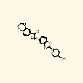 O=C(Nc1ccc2oc(N3CCC(O)CC3)nc2c1)c1ccc2c(c1)OCCO2